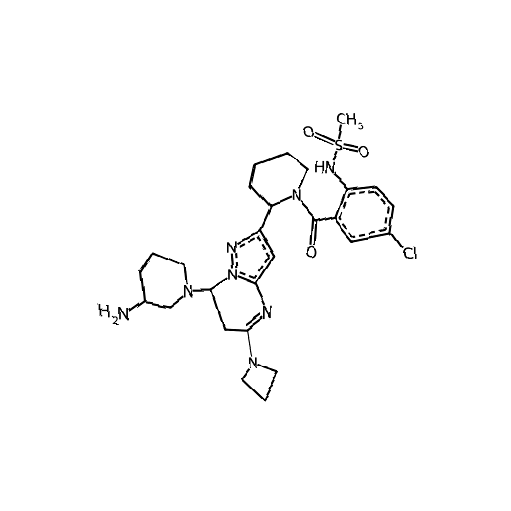 CS(=O)(=O)Nc1ccc(Cl)cc1C(=O)N1CCCCC1c1cc2n(n1)C(N1CCCC(N)C1)CC(N1CCC1)=N2